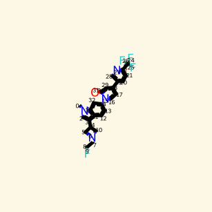 Cn1cc(C2CN(CCF)C2)c2ccc(-n3ccc(-c4ccc(C(F)(F)F)nc4)cc3=O)cc21